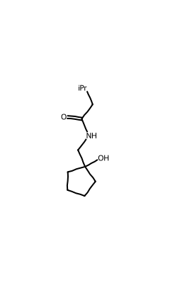 CC(C)CC(=O)NCC1(O)CCCC1